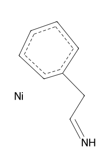 N=CCc1ccccc1.[Ni]